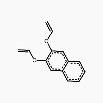 C=COc1cc2ccccc2cc1OC=C